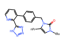 CCCc1cn(C(C)(C)C)c(=O)n1Cc1ccc(-c2cccnc2-c2nnn[nH]2)cc1